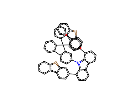 c1ccc2c(c1)-c1ccccc1C21c2ccccc2-c2ccc(-n3c4c(-c5ccc6c(c5)sc5ccccc56)cccc4c4cccc(-c5ccc6c(c5)sc5ccccc56)c43)cc21